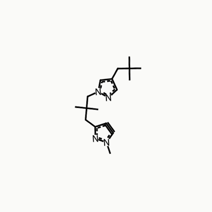 Cn1c#cc(CC(C)(C)Cn2cc(CC(C)(C)C)cn2)n1